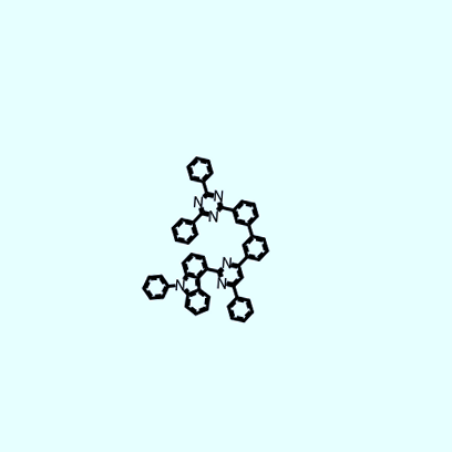 c1ccc(-c2cc(-c3cccc(-c4cccc(-c5nc(-c6ccccc6)nc(-c6ccccc6)n5)c4)c3)nc(-c3cccc4c3c3ccccc3n4-c3ccccc3)n2)cc1